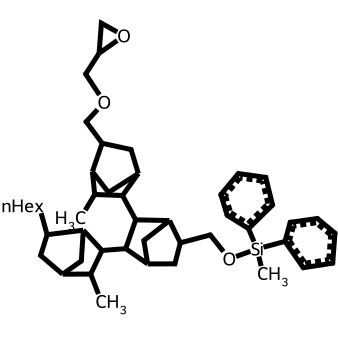 CCCCCCC1CC2CC1C(C1C3CC(CO[Si](C)(c4ccccc4)c4ccccc4)C(C3)C1C1C3CC(COCC4CO4)C(C3)C1C)C2C